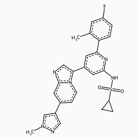 Cc1cc(F)ccc1-c1cc(-c2cnc3cc(-c4cnn(C)c4)ccn23)cc(NS(=O)(=O)C2CC2)n1